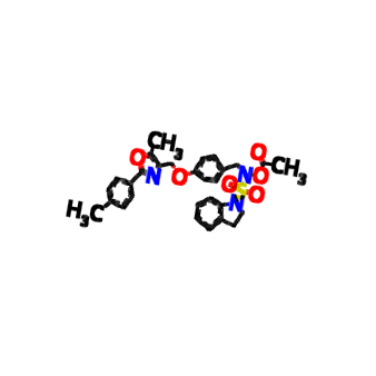 CC(=O)ON(Cc1ccc(OCc2nc(-c3ccc(C)cc3)oc2C)cc1)S(=O)(=O)N1CCc2ccccc21